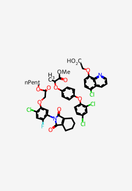 CCCCCOC(=O)COc1cc(N2C(=O)C3=C(CCCC3)C2=O)c(F)cc1Cl.COC(=O)C(C)Oc1ccc(Oc2ccc(Cl)cc2Cl)cc1.O=C(O)COc1ccc(Cl)c2cccnc12